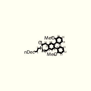 CCCCCCCCCCCCN1N=Cc2cc(-c3ccccc3OC)c(-c3ccccc3OC)cc2CC1=O